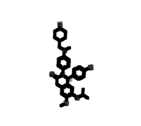 COc1cc2c(cc1OC(C)C)[C@H](c1ccc(Cl)cc1)N(c1ccc(N(C)CC3CCNCC3)cc1)C(=O)C2